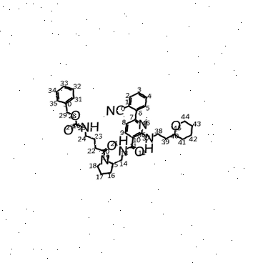 N#Cc1ccccc1-c1ccc(C(=O)NC[C@H]2CCCN2C(=O)CCCNC(=O)OCc2ccccc2)c(NCCC2CCCCO2)n1